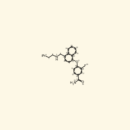 CC(C)CCNCc1ccc(Oc2ccc(C(N)=O)cc2F)c2ccccc12